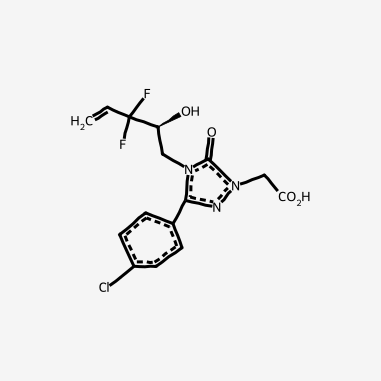 C=CC(F)(F)[C@@H](O)Cn1c(-c2ccc(Cl)cc2)nn(CC(=O)O)c1=O